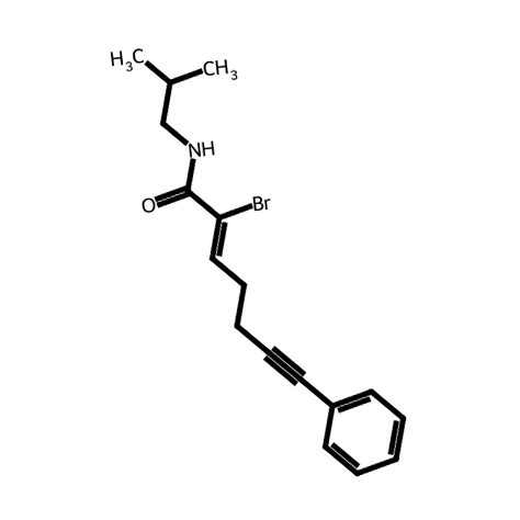 CC(C)CNC(=O)C(Br)=CCCC#Cc1ccccc1